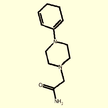 NC(=O)CN1CCN(C2=CCCC=C2)CC1